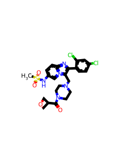 CS(=O)(=O)Nc1ccc2nc(-c3ccc(Cl)cc3Cl)c(CN3CCN(C(=O)C4COC4)CC3)n2c1